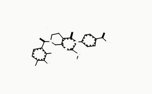 CNC(=O)c1ccc(-n2c(NC(C)C)nc3c(c2=O)C[C@@H](C)N(C(=O)c2ccc(Cl)c(C(F)(F)F)c2F)C3)cc1